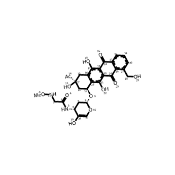 CONCC(=O)N[C@@H]1C[C@H](O[C@H]2C[C@](O)(C(C)=O)Cc3c(O)c4c(c(O)c32)C(=O)c2c(CO)cccc2C4=O)OC=C1O